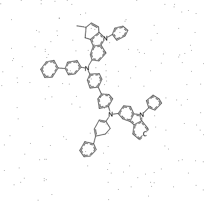 CC1C=Cc2c(c3cc(N(c4ccc(-c5ccccc5)cc4)c4ccc(-c5ccc(N(C6=CC=C(c7ccccc7)CC6)c6ccc7c(c6)c6ccccc6n7-c6ccccc6)cc5)cc4)ccc3n2-c2ccccc2)C1